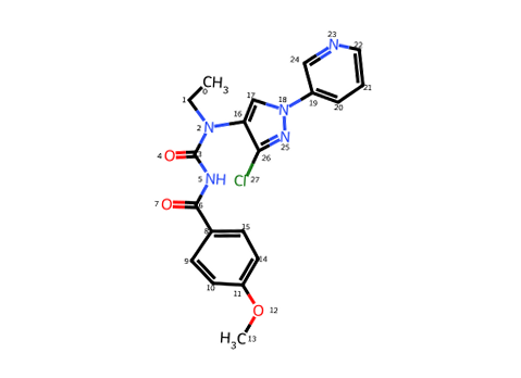 CCN(C(=O)NC(=O)c1ccc(OC)cc1)c1cn(-c2cccnc2)nc1Cl